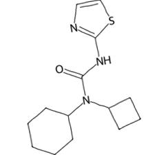 O=C(Nc1nccs1)N(C1CCCCC1)C1CCC1